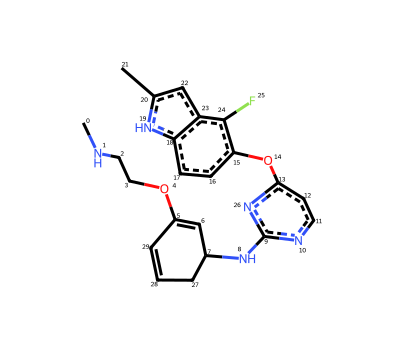 CNCCOC1=CC(Nc2nccc(Oc3ccc4[nH]c(C)cc4c3F)n2)CC=C1